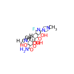 CN1CCN(c2nc(F)c3c(c2O)C(=O)C2=C(O)[C@]4(O)C(=O)C(C(N)=O)=C(O)[C@@H](N(C)C)[C@@H]4C[C@@H]2C3)CC1